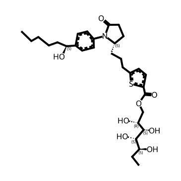 CCCCC[C@H](O)c1ccc(N2C(=O)CC[C@@H]2CCCc2ccc(C(=O)OC[C@@H](O)[C@H](O)[C@@H](O)[C@@H](O)CC)s2)cc1